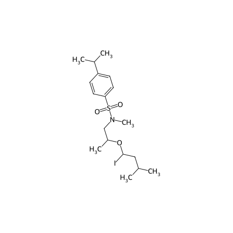 CC(C)CC(I)OC(C)CN(C)S(=O)(=O)c1ccc(C(C)C)cc1